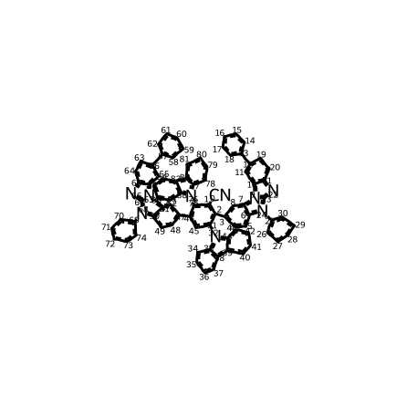 N#Cc1c(-c2ccc3c(c2)n2c4cc(-c5ccccc5)ccc4nc2n3-c2ccccc2)c(-n2c3ccccc3c3ccccc32)cc(-c2ccc3c(c2)n2c4cc(-c5ccccc5)ccc4nc2n3-c2ccccc2)c1-n1c2ccccc2c2ccccc21